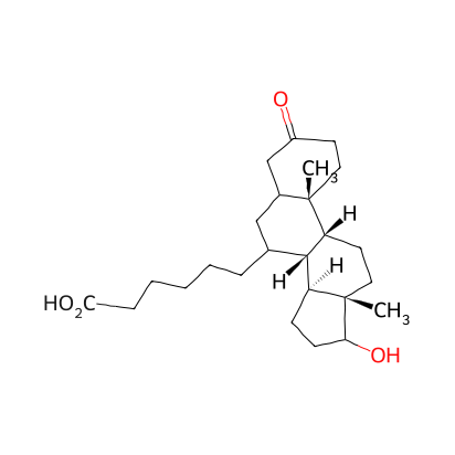 C[C@]12CCC(=O)CC1CC(CCCCCC(=O)O)[C@@H]1[C@H]2CC[C@]2(C)C(O)CC[C@@H]12